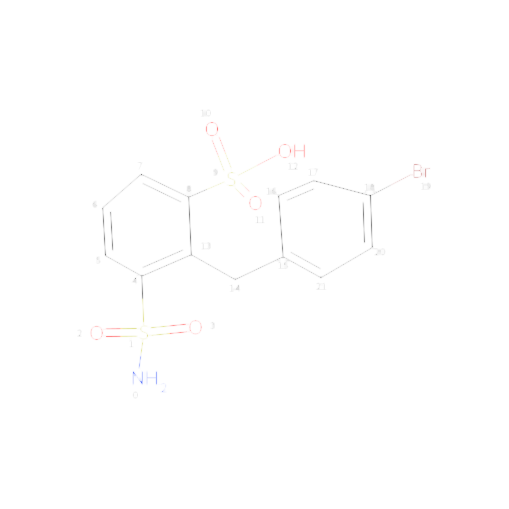 NS(=O)(=O)c1cccc(S(=O)(=O)O)c1Cc1ccc(Br)cc1